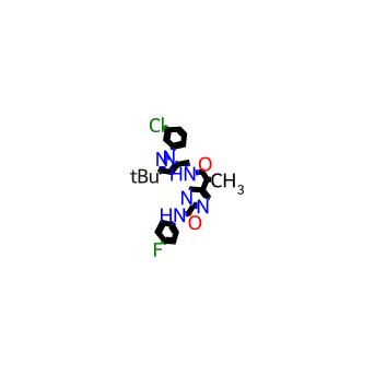 CC(C(=O)NCc1cc(C(C)(C)C)nn1-c1cccc(Cl)c1)c1cnc(C(=O)Nc2ccc(F)cc2)nc1